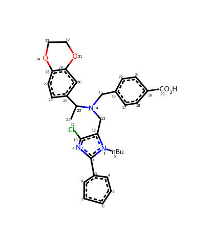 CCCCn1c(-c2ccccc2)nc(Cl)c1CN(Cc1ccc(C(=O)O)cc1)C(C)c1ccc2c(c1)OCCO2